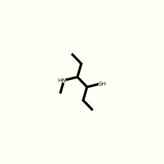 CC[C](NC)C(S)CC